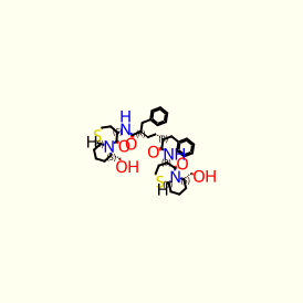 O=C(N[C@H]1CCS[C@H]2CCC[C@@H](CO)N2C1=O)[C@H](CC[C@H](Cc1ccccc1)C(=O)N[C@H]1CCS[C@H]2CCC[C@@H](CO)N2C1=O)Cc1ccccc1